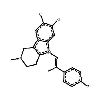 C/C(=C\n1c2c(c3cc(Cl)c(Cl)cc31)CN(C)CC2)c1ccc(F)cc1